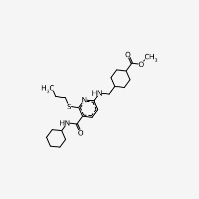 CCCSc1nc(NCC2CCC(C(=O)OC)CC2)ccc1C(=O)NC1CCCCC1